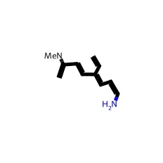 C=C/C(C=CC(=C)NC)=C\C=C/N